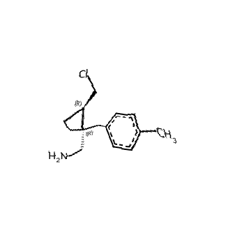 Cc1ccc([C@@]2(CN)C[C@H]2CCl)cc1